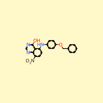 O=[N+]([O-])c1ccc(Nc2ccc(OCc3ccccc3)cc2)c2c(O)ncnc12